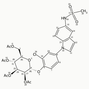 CC(=O)OC[C@H]1O[C@H](Oc2ccc(-n3ccc4cc(NS(C)(=O)=O)ccc43)cc2Cl)[C@@H](OC(C)=O)[C@@H](OC(C)=O)[C@@H]1OC(C)=O